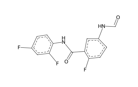 O=CNc1ccc(F)c(C(=O)Nc2ccc(F)cc2F)c1